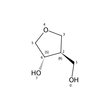 OC[C@@H]1COC[C@H]1O